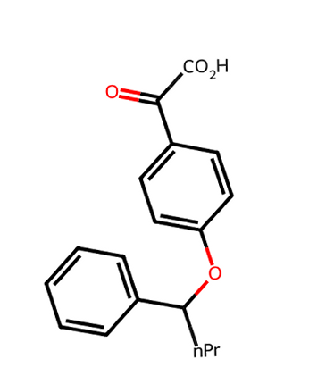 CCCC(Oc1ccc(C(=O)C(=O)O)cc1)c1ccccc1